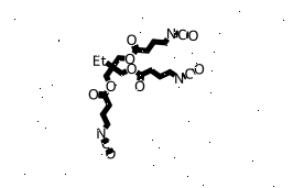 CCC(COC(=O)CCCN=C=O)(COC(=O)CCCN=C=O)COC(=O)CCCN=C=O